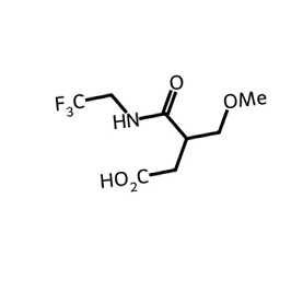 COCC(CC(=O)O)C(=O)NCC(F)(F)F